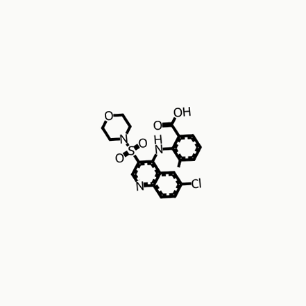 Cc1cccc(C(=O)O)c1Nc1c(S(=O)(=O)N2CCOCC2)cnc2ccc(Cl)cc12